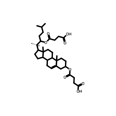 CC(C)CCC(OC(=O)CCC(=O)O)[C@@H](C)C1CCC2C3CC=C4CC(OC(=O)CCC(=O)O)CCC4(C)C3CCC21C